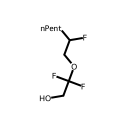 CCCCCC(F)COC(F)(F)CO